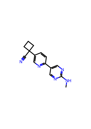 CNc1ncc(-c2ccc(C3(C#N)CCC3)cn2)cn1